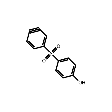 O=S(=O)(c1cc#ccc1)c1ccc(O)cc1